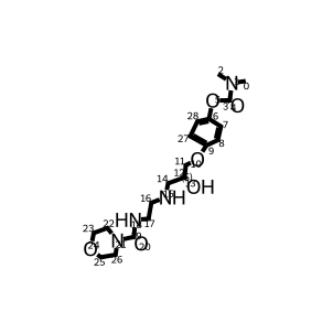 CN(C)C(=O)Oc1ccc(OC[C@@H](O)CNCCNC(=O)N2CCOCC2)cc1